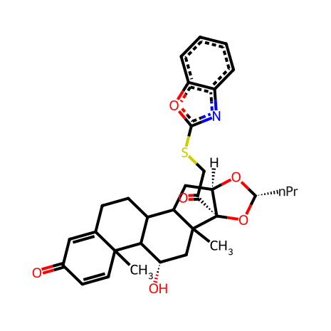 CCC[C@H]1O[C@@H]2CC3C4CCC5=CC(=O)C=CC5(C)C4[C@@H](O)CC3(C)[C@]2(C(=O)CSc2nc3ccccc3o2)O1